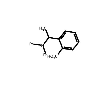 CC(C)N(C(C)C)C(C)c1ccccc1C(=O)O